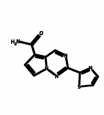 NC(=O)c1ccn2nc(-c3nccs3)ncc12